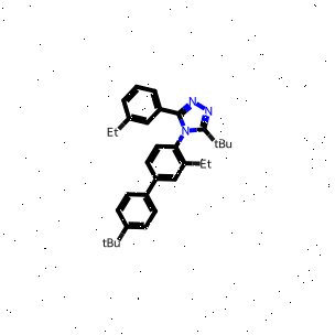 CCc1cccc(-c2nnc(C(C)(C)C)n2-c2ccc(-c3ccc(C(C)(C)C)cc3)cc2CC)c1